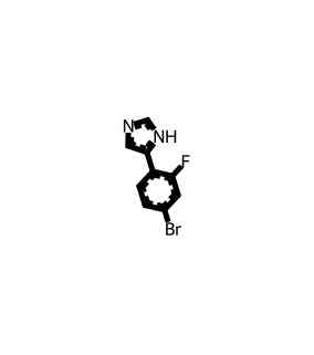 Fc1cc(Br)ccc1-c1cnc[nH]1